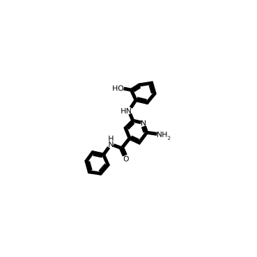 Nc1cc(C(=O)Nc2ccccc2)cc(Nc2ccccc2O)n1